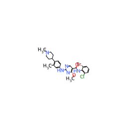 COc1nc(Nc2ccc(C3CCN(C)CC3)c(C)c2)ncc1C(=O)Nc1c(Cl)cccc1Br